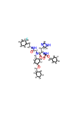 O=C(CN(Cc1ccc(OCc2ccccc2)cc1)C(=O)C(Cc1c[nH]cn1)NC(=O)OCc1ccccc1)NCCc1ccccc1F